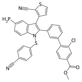 COC(=O)c1ccc(-c2cccc(-c3c(-c4ccsc4C#N)c4cc(P)ccc4n3Sc3ccc(C#N)cc3)c2)c(Cl)c1